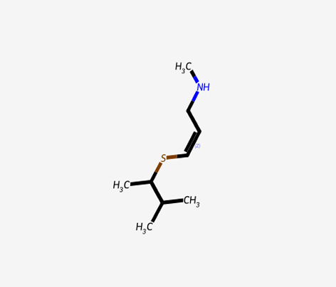 CNC/C=C\SC(C)C(C)C